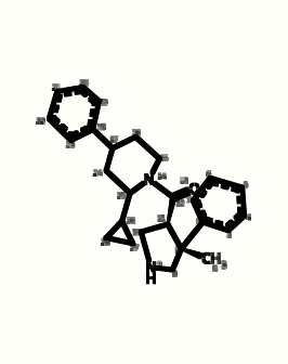 C[C@@]1(c2ccccc2)CNC[C@H]1C(=O)N1CCC(c2ccccc2)CC1C1CC1